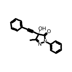 CC1=NN(c2ccccc2)C(=O)[C@]1(O)C#Cc1ccccc1